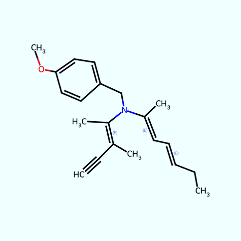 C#C/C(C)=C(\C)N(Cc1ccc(OC)cc1)/C(C)=C/C=C/CC